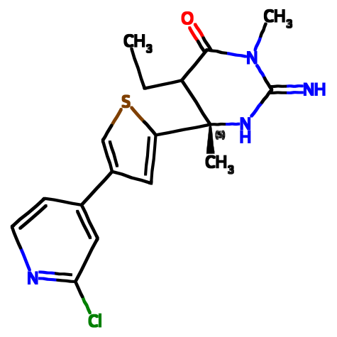 CCC1C(=O)N(C)C(=N)N[C@]1(C)c1cc(-c2ccnc(Cl)c2)cs1